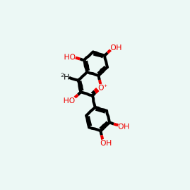 [2H]c1c(O)c(-c2ccc(O)c(O)c2)[o+]c2cc(O)cc(O)c12